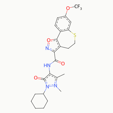 Cc1c(NC(=O)c2noc3c2CCSc2cc(OC(F)(F)F)ccc2-3)c(=O)n(C2CCCCC2)n1C